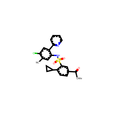 COC(=O)c1ccc(C2CC2)c(S(=O)(=O)Nc2cc(C#N)c(Cl)cc2-c2ccccn2)c1